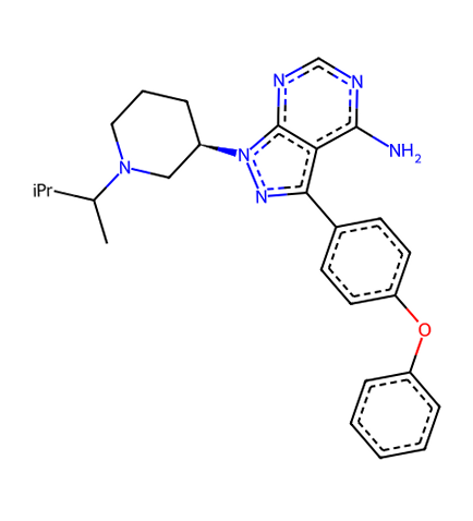 CC(C)C(C)N1CCC[C@@H](n2nc(-c3ccc(Oc4ccccc4)cc3)c3c(N)ncnc32)C1